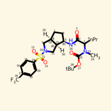 CCCC(C(=O)N[C@@H]1CC[C@@H]2CN(S(=O)(=O)c3ccc(C(F)(F)F)cc3)C[C@@H]21)N(C)C(=O)OC(C)(C)C